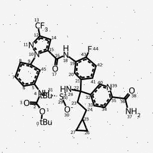 CC(C)(C)OC(=O)Nc1cccc(-n2nc(C(F)(F)F)cc2C(=O)Nc2cc(C(CCC3CC3)(N[S@+]([O-])C(C)(C)C)c3ccc(C(N)=O)nc3)ccc2F)c1